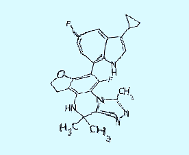 Cc1nnc2n1-c1c(F)c(-c3cc(F)cc4c(C5CC5)c[nH]c34)c3c(c1NC2(C)C)CCO3